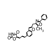 Cc1oc(-c2ccccc2)nc1Cc1cc2cc(C=CC=C3OC(=O)NC3=O)ccc2o1